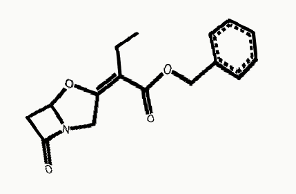 CC/C(C(=O)OCc1ccccc1)=C1/CN2C(=O)CC2O1